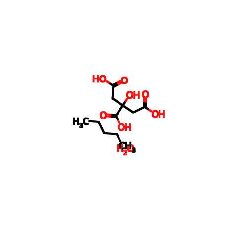 CCCCC.O.O=C(O)CC(O)(CC(=O)O)C(=O)O